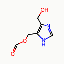 O=COCc1[nH]cnc1CO